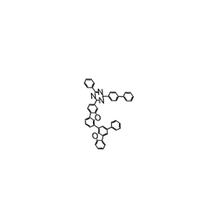 c1ccc(-c2ccc(-c3nc(-c4ccccc4)nc(-c4ccc5c(c4)oc4c(-c6cc(-c7ccccc7)cc7c6oc6ccccc67)cccc45)n3)cc2)cc1